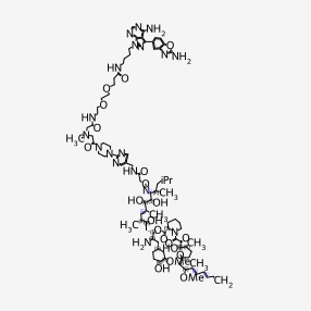 C=C/C=C/C=C(\C)[C@H](C[C@@H]1CC[C@@H](C)[C@](O)(C(=O)C(=O)N2CCCC[C@H]2C(=O)O[C@@H](C[C@@H](O)[C@H](C)/C=C(\C)[C@@H](O)[C@@H](O)/C(=N/OCC(=O)NCc2cnc(N3CCN(C(=O)CN(C)CC(=O)NCCOCCOCCC(=O)NCCCCn4nc(-c5ccc6oc(N)nc6c5)c5c(N)ncnc54)CC3)nc2)[C@H](C)CC(C)C)[C@H](N)C[C@@H]2CC[C@@H](O)[C@H](OC)C2)O1)OC